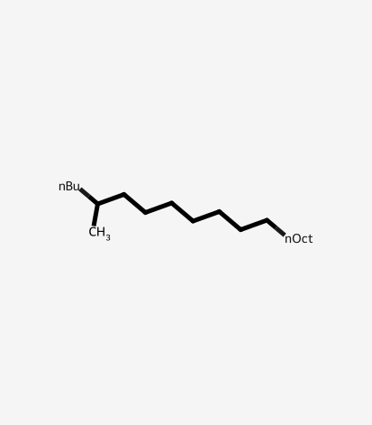 [CH2]CCCC(C)CCCCCCCCCCCCCCC